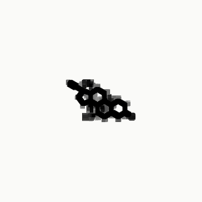 C#C[C@]1(O)CC[C@H]2[C@@H]3[C@@H](O)CC4=CC(=O)CC[C@]4(C)[C@H]3CC[C@@]21C